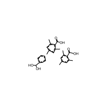 Cc1cc(C)c(C(=O)O)c(C)c1.Cc1cc(C)c(C(=O)O)c(C)c1.OC(O)c1ccccc1